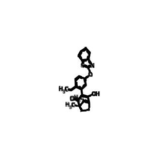 CCc1ccc(Oc2nc3ccccc3s2)cc1C1=C(O)C2=C(C)[C@](C)(CC2)C1=O